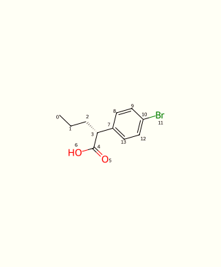 CCC[C@@H](C(=O)O)c1ccc(Br)cc1